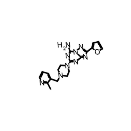 Cc1ncccc1CN1CCN(c2nc(N)n3nc(-c4ccco4)nc3n2)CC1